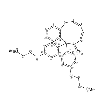 C=C1/C=C\C=C/Cc2ccccc2C1(c1ccc(OCCOC)cc1)c1ccc(OCCOC)cc1